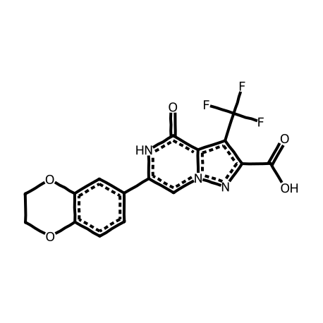 O=C(O)c1nn2cc(-c3ccc4c(c3)OCCO4)[nH]c(=O)c2c1C(F)(F)F